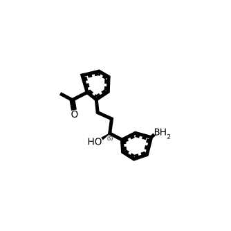 Bc1cccc([C@@H](O)CCc2ccccc2C(C)=O)c1